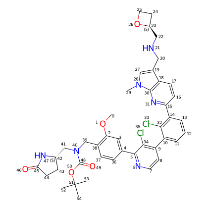 COc1cc(-c2nccc(-c3cccc(-c4ccc5c(CNC[C@@H]6CCO6)cn(C)c5n4)c3Cl)c2Cl)ccc1CN(C[C@@H]1CCC(=O)N1)C(=O)OC(C)(C)C